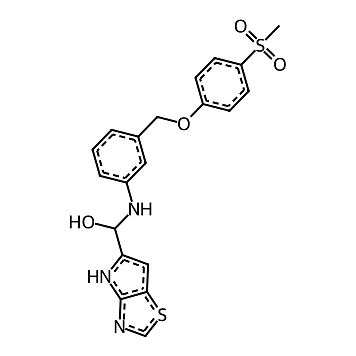 CS(=O)(=O)c1ccc(OCc2cccc(NC(O)c3cc4scnc4[nH]3)c2)cc1